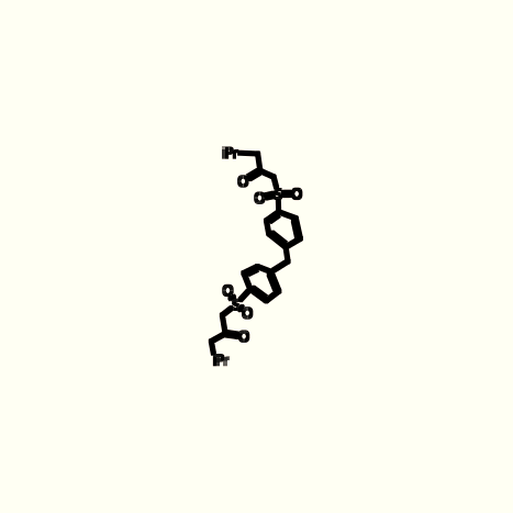 CC(C)CC(=O)CS(=O)(=O)c1ccc(Cc2ccc(S(=O)(=O)CC(=O)CC(C)C)cc2)cc1